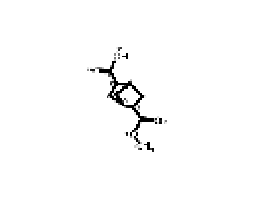 COC(=O)C1CC2CC1CC2C(=O)O